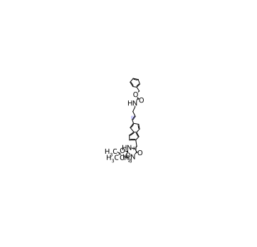 CC(C)(C)OC(=O)N[C@@H](Cc1ccc2cc(/C=C/CCNC(=O)OCc3ccccc3)ccc2c1)C(N)=O